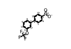 O=[N+]([O-])c1ccc(-c2[c]ccc(OC(F)(F)F)c2)cc1